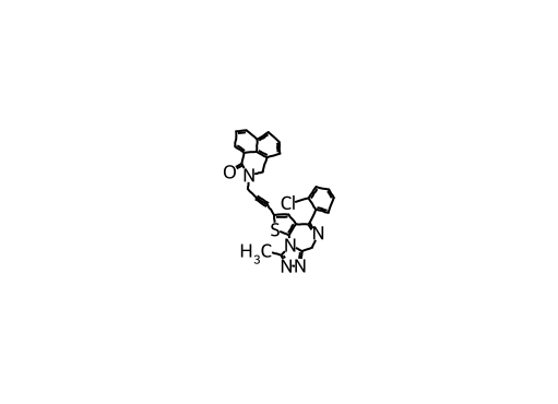 Cc1nnc2n1-c1sc(C#CCN3Cc4cccc5cccc(c45)C3=O)cc1C(c1ccccc1Cl)=NC2